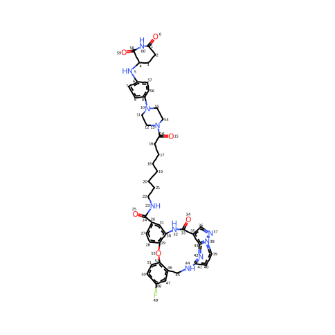 O=C1CCC(Nc2ccc(N3CCN(C(=O)CCCCCCCNC(=O)c4ccc5c(c4)NC(=O)c4cnn6ccc(nc46)NCc4cc(F)ccc4O5)CC3)cc2)C(=O)N1